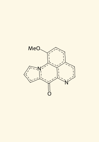 COc1ccc2ccnc3c(=O)c4cccn4c1c23